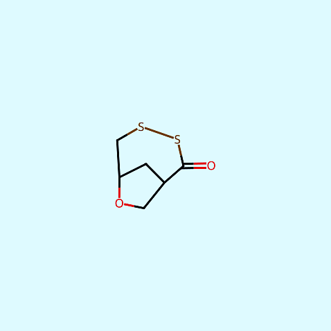 O=C1SSCC2CC1CO2